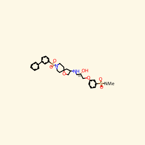 CNS(=O)(=O)c1cccc(OC[C@@H](O)CNC2COC3(CCN(S(=O)(=O)c4cccc(-c5ccccc5)c4)CC3)C2)c1